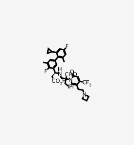 Cc1cc(-c2c(C)cc(F)cc2C2CC2)cc([C@H](CC(=O)O)NCC(C=O)(CC(C)C)n2cc(CCN3CCC3)c(C(F)(F)F)cc2=O)c1F